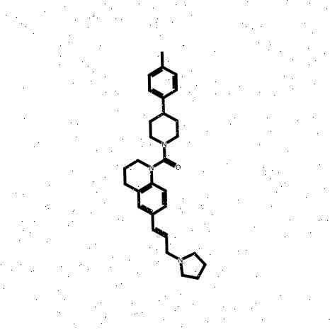 Cc1ccc(C2CCN(C(=O)N3CCCc4cc(/C=C/CN5CCCC5)ccc43)CC2)cc1